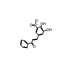 O=C(C=Cc1cc(O)c(O)c([N+](=O)[O-])c1)c1ccccc1